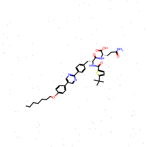 CCCCCCCOc1ccc(-c2cnc(-c3ccc(C[C@@H](NC(=O)c4ccc(C(C)(C)C)s4)C(=O)N[C@@H](CCC(N)=O)C(=O)O)cc3)nc2)cc1